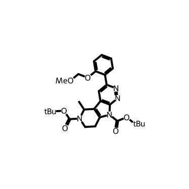 COCOc1ccccc1-c1cc2c3c(n(C(=O)OC(C)(C)C)c2nn1)CCN(C(=O)OC(C)(C)C)C3C